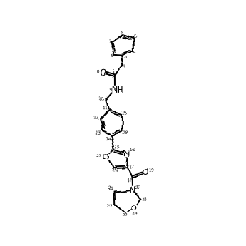 O=C(Cc1ccccc1)NCc1ccc(-c2nc(C(=O)N3CCCOC3)co2)cc1